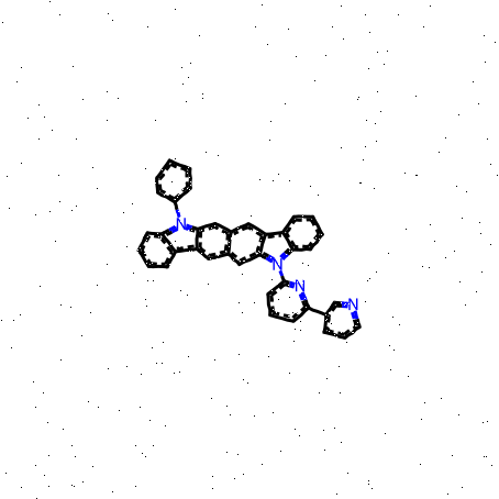 c1ccc(-n2c3ccccc3c3cc4cc5c(cc4cc32)c2ccccc2n5-c2cccc(-c3cccnc3)n2)cc1